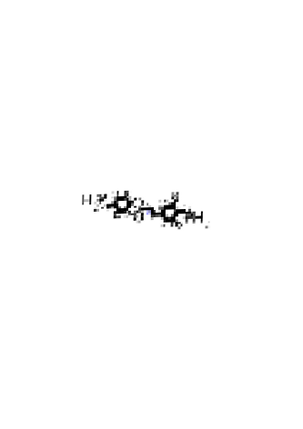 Cc1cc(/C=C/C(=O)Oc2ccc(CP)cc2)cc(C)c1CP